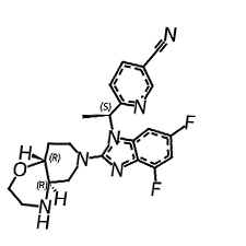 C[C@@H](c1ccc(C#N)cn1)n1c(N2CC[C@H]3OCCN[C@@H]3C2)nc2c(F)cc(F)cc21